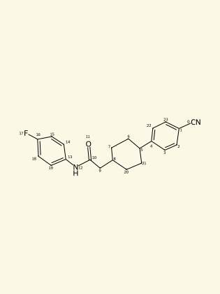 N#Cc1ccc(C2CCC(CC(=O)Nc3ccc(F)cc3)CC2)cc1